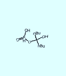 CCCCC(O)(CCCC)O[PH](=O)O